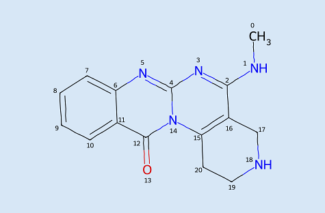 CNc1nc2nc3ccccc3c(=O)n2c2c1CNCC2